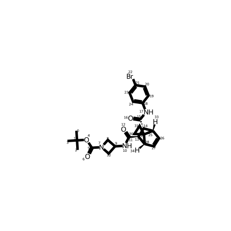 CC(C)(C)OC(=O)N1CC(NC(=O)[C@H]2[C@H](C(=O)Nc3ccc(Br)cc3)[C@@H]3C=C[C@H]2C32CC2)C1